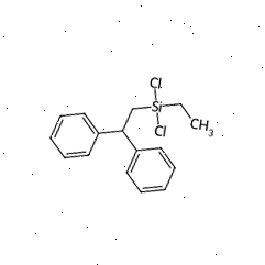 CC[Si](Cl)(Cl)CC(c1ccccc1)c1ccccc1